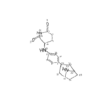 O=C1CCC(Nc2ccc(C3CC4CCC(C3)N4)cc2)C(=O)N1